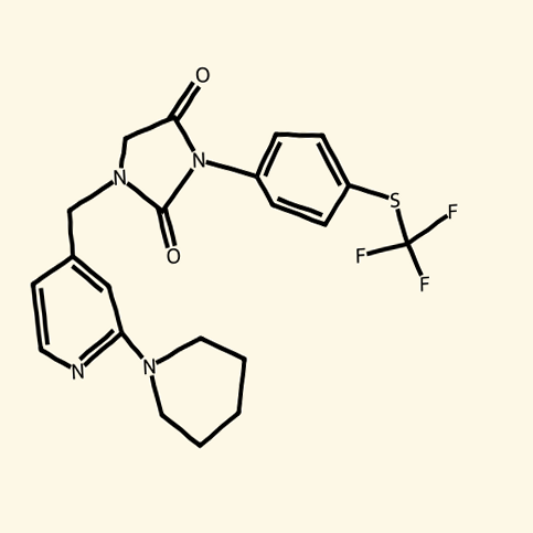 O=C1CN(Cc2ccnc(N3CCCCC3)c2)C(=O)N1c1ccc(SC(F)(F)F)cc1